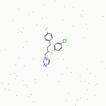 Fc1ccc(CCC(Cn2ccnc2)Sc2ccc(Cl)cc2)cc1